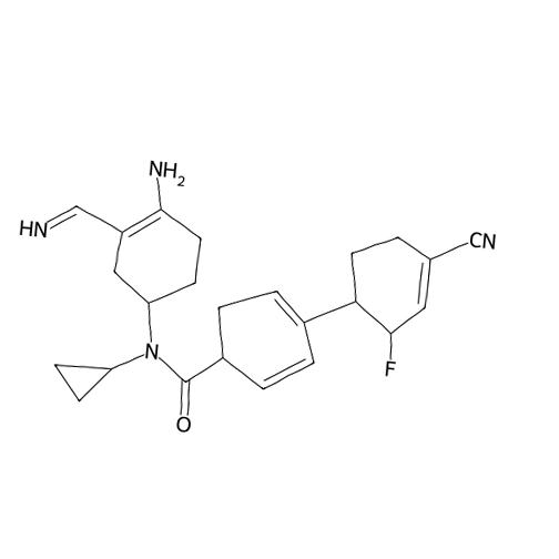 N#CC1=CC(F)C(C2=CCC(C(=O)N(C3CC3)C3CCC(N)=C(C=N)C3)C=C2)CC1